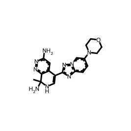 CC1(N)NC=C(c2nc3ccc(N4CCOCC4)cn3n2)c2cc(N)nnc21